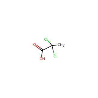 [CH2]C(Cl)(Cl)C(=O)O